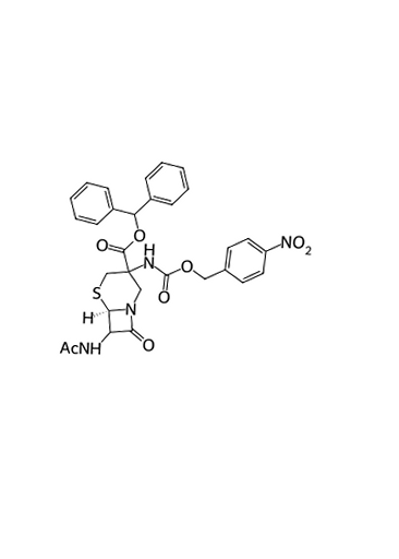 CC(=O)NC1C(=O)N2CC(NC(=O)OCc3ccc([N+](=O)[O-])cc3)(C(=O)OC(c3ccccc3)c3ccccc3)CS[C@H]12